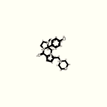 CN1CCN2C(=O)c3ccc(CN4CCOCC4)n3CC12c1ccc(Cl)cc1